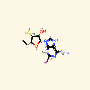 CC[C@H]1O[C@@H](n2cnc3c(N)nc(I)nc32)[C@H](O)[C@@H]1S